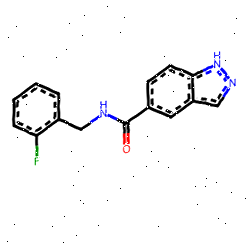 O=C(NCc1ccccc1F)c1ccc2[nH]ncc2c1